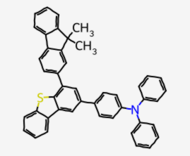 CC1(C)c2ccccc2-c2ccc(-c3cc(-c4ccc(N(c5ccccc5)c5ccccc5)cc4)cc4c3sc3ccccc34)cc21